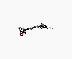 Cc1ccc(S(=O)(=O)CCOCCOCCOCCOCC23CC4C(c5ccccc5)N(C2)C(c2ccccc2)N(C3)N4c2ccccc2)cc1